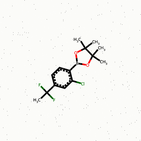 CC(F)(F)c1ccc(B2OC(C)(C)C(C)(C)O2)c(Cl)c1